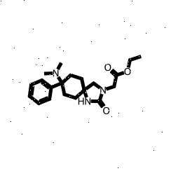 CCOC(=O)CN1CC2(CCC(c3ccccc3)(N(C)C)CC2)NC1=O